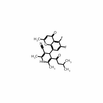 CC1=C(C#N)C(c2cc(F)c(F)c3c(=O)cc(C)oc23)C(C(=O)CC(C)C)=C(C)N1